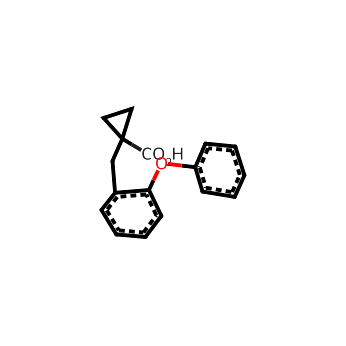 O=C(O)C1(Cc2ccccc2Oc2ccccc2)CC1